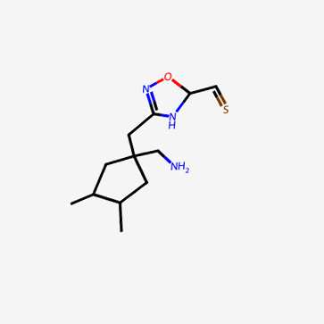 CC1CC(CN)(CC2=NOC(C=S)N2)CC1C